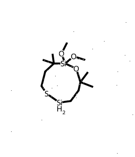 CO[Si]1(OC)OC(C)(C)CC[SiH2]SCCC1(C)C